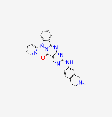 CN1CCc2ccc(Nc3ncc4c(=O)n5c(nc4n3)c3ccccc3n5-c3ccccn3)cc2C1